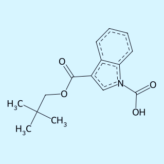 CC(C)(C)COC(=O)c1cn(C(=O)O)c2ccccc12